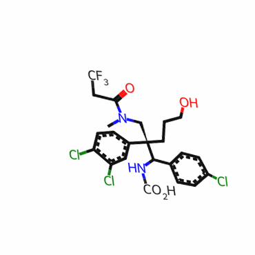 CN(C[C@](CCCO)(c1ccc(Cl)c(Cl)c1)C(NC(=O)O)c1ccc(Cl)cc1)C(=O)CC(F)(F)F